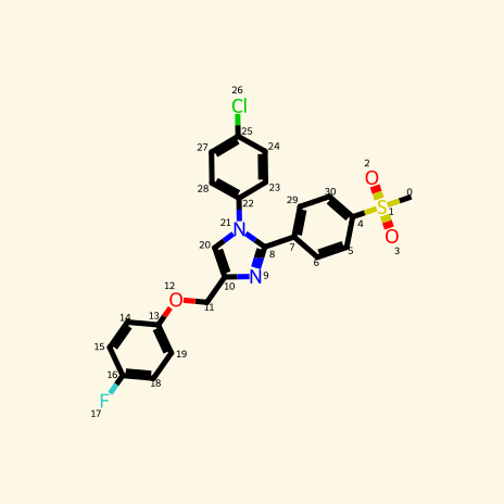 CS(=O)(=O)c1ccc(-c2nc(COc3ccc(F)cc3)cn2-c2ccc(Cl)cc2)cc1